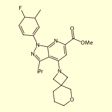 COC(=O)c1cc(N2CC3(CCCOC3)C2)c2c(C(C)C)nn(C3=CC(C)C(F)C=C3)c2n1